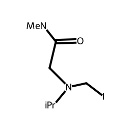 CNC(=O)CN(CI)C(C)C